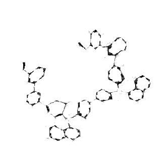 C=Cc1cccc(-c2cccc(C3=CC=C(N(c4ccc(-c5ccc(N(c6ccc(-c7cccc(-c8cccc(C=C)c8)c7)cc6)c6cccc7ccccc67)cc5)cc4)c4cccc5ccccc45)C(C)C3)c2)c1